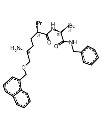 CC[C@H](C)[C@H](NC(=O)[C@@H](CC[C@@H](N)COCc1cccc2ccccc12)C(C)C)C(=O)NCc1ccccc1